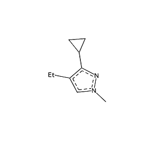 CCc1cn(C)nc1C1CC1